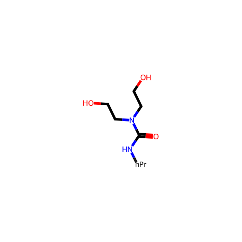 CCCNC(=O)N(CCO)CCO